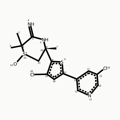 CC1(C)C(=N)N[C@](C)(c2sc(-c3cncc(Cl)c3)cc2Cl)C[S+]1[O-]